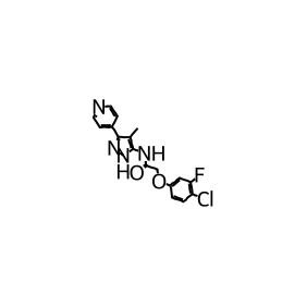 Cc1c(-c2ccncc2)n[nH]c1NC(=O)COc1ccc(Cl)c(F)c1